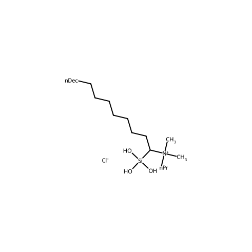 CCCCCCCCCCCCCCCCCC([N+](C)(C)CCC)[Si](O)(O)O.[Cl-]